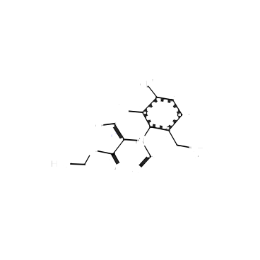 CCOC(=O)/C(=C\O)N(C=O)c1c(CC)ccc(Cl)c1C